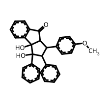 COc1ccc(C2C3C(=O)c4ccccc4C3(O)C(O)(c3ccccc3)C2c2ccccc2)cc1